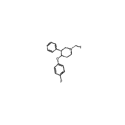 Fc1ccc(OC2CCN(CI)CC2c2ccccc2)cc1